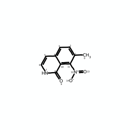 Cc1ccc2cc[nH]c(=O)c2c1[N+](=O)[O-]